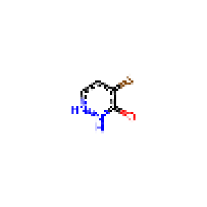 O=c1[nH][nH]ccc1=S